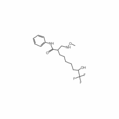 CONCC(CCCCCC(O)C(F)(F)F)C(=O)Nc1ccccc1